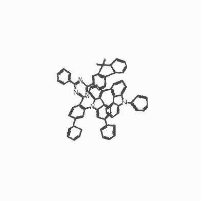 CC1(C)c2cc(-c3nc(-c4ccccc4)nc(-c4ccc(C5C=CC=CC5)cc4-n4c5cc(-c6ccccc6)ccc5c5c(-c6cccc7c6c6ccccc6n7-c6ccccc6)cccc54)n3)ccc2C2C=CC=CC21